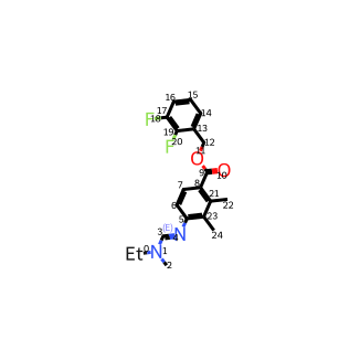 CCN(C)/C=N/c1ccc(C(=O)OCc2cccc(F)c2F)c(C)c1C